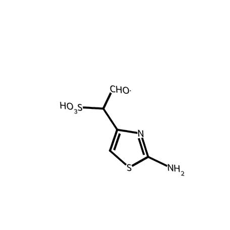 Nc1nc(C([C]=O)S(=O)(=O)O)cs1